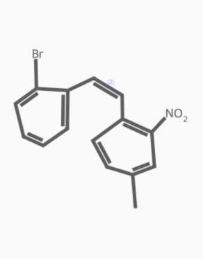 Cc1ccc(/C=C\c2ccccc2Br)c([N+](=O)[O-])c1